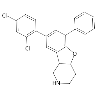 Clc1ccc(-c2cc(-c3ccccc3)c3c(c2)C2CNCCC2O3)c(Cl)c1